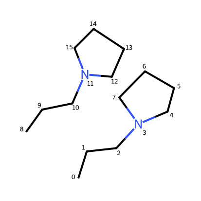 CCCN1CCCC1.CCCN1CCCC1